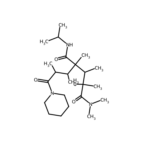 CC(C)NC(=O)C(C)(C(C)C(C)C(=O)N1CCCCC1)C(C)C(C)(C)C(=O)N(C)C